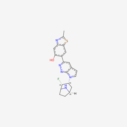 Cc1nc2cc(O)c(-c3cc4ccn([C@@H]5C[C@H]6CCC(N6)[C@@H]5F)c4nn3)cc2s1